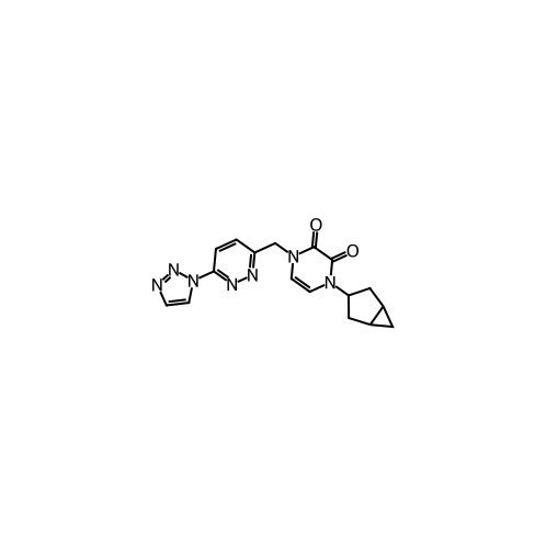 O=c1c(=O)n(C2CC3CC3C2)ccn1Cc1ccc(-n2ccnn2)nn1